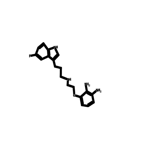 Nc1cccc(OCCNCCCc2c[nH]c3ccc(F)cc23)c1N